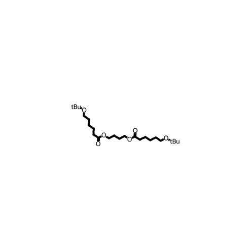 CC(C)(C)OCCCCCC(=O)OCCCCOC(=O)CCCCCOC(C)(C)C